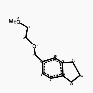 COCCOCc1ccc2c(c1)CC[C]2